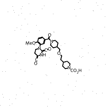 COc1ccc(C(=O)N2CCC(COCCC3CCN(C(=O)O)CC3)CC2)cc1N1CCC(=C=O)NC1=C=O